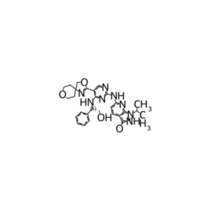 CC(C)n1[nH]c(=O)c2ccc(Nc3ncc(C4=NC5(CCOCC5)CO4)c(N[C@H](CO)c4ccccc4)n3)nc21